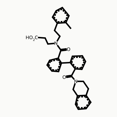 Cc1ccccc1CCN(CCC(=O)O)C(=O)c1ccccc1-c1ccccc1C(=O)N1CCc2ccccc2C1